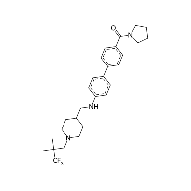 CC(C)(CN1CCC(CNc2ccc(-c3ccc(C(=O)N4CCCC4)cc3)cc2)CC1)C(F)(F)F